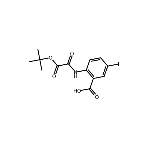 CC(C)(C)OC(=O)C(=O)Nc1ccc(I)cc1C(=O)O